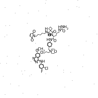 COc1cc2ncnc(Nc3ccc(F)c(Cl)c3)c2cc1OCCC[N+]1(Cc2ccc(NC(=O)C(CCCNC(N)=O)NC(=O)C3(C(=O)NCCCCCN4C(=O)C=CC4=O)CCC3)cc2)CCOCC1